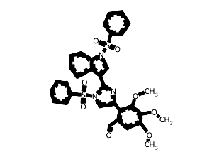 COc1cc(C=O)c(-c2cn(S(=O)(=O)c3ccccc3)c(-c3cn(S(=O)(=O)c4ccccc4)c4ccccc34)n2)c(OC)c1OC